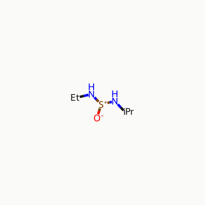 CCN[S+]([O-])NC(C)C